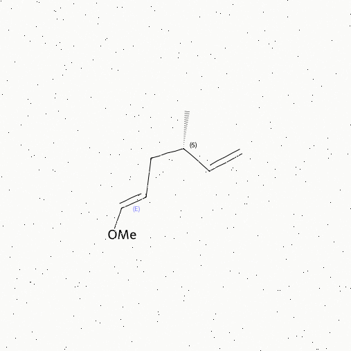 C=C[C@@H](C)C/C=C/OC